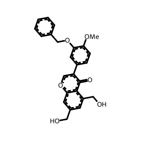 COc1ccc(-c2coc3cc(CO)cc(CO)c3c2=O)cc1OCc1ccccc1